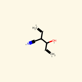 C=C[C](O)C(C#N)C=C